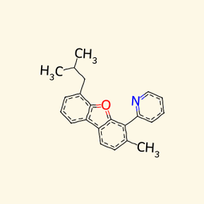 Cc1ccc2c(oc3c(CC(C)C)cccc32)c1-c1ccccn1